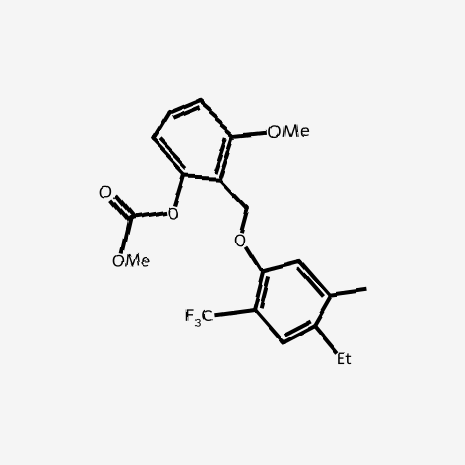 CCc1cc(C(F)(F)F)c(OCc2c(OC)cccc2OC(=O)OC)cc1C